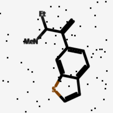 C=C(c1ccc2ccsc2c1)C(CC)NC